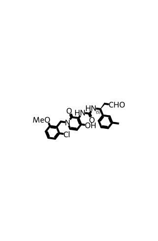 COc1cccc(Cl)c1Cn1ccc(O)c(NC(=O)N[C@@H](CC=O)c2cccc(C)c2)c1=O